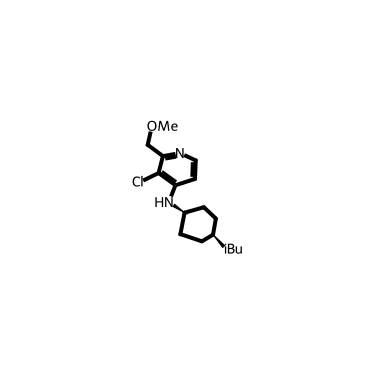 CCC(C)[C@H]1CC[C@@H](Nc2ccnc(COC)c2Cl)CC1